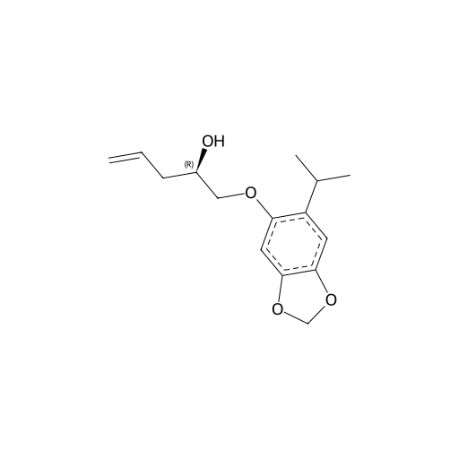 C=CC[C@@H](O)COc1cc2c(cc1C(C)C)OCO2